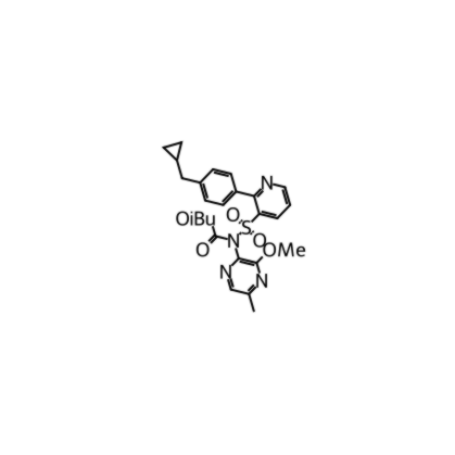 COc1nc(C)cnc1N(C(=O)OCC(C)C)S(=O)(=O)c1cccnc1-c1ccc(CC2CC2)cc1